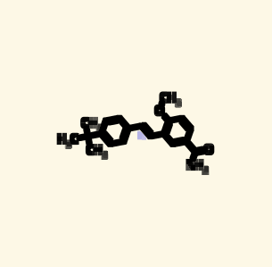 COc1ccc(C(N)=O)cc1/C=C/c1ccc(C(C)(C)C)cc1